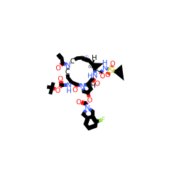 C=CC(=O)N1CC/C=C\[C@@H]2C[C@@]2(C(=O)NS(=O)(=O)C2CC2)NC(=O)[C@@H]2CC(OC(=O)N3Cc4cccc(F)c4C3)CN2C(=O)[C@@H](NC(=O)OC(C)(C)C)CC1